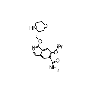 CC(C)Oc1cc2c(OC[C@H]3COCCN3)nccc2cc1C(N)=O